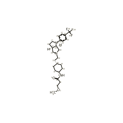 COCCC(=O)N[C@H]1CC[C@H](CCN2C[C@H]3CCN(c4ccc(C(F)(F)F)cc4)[C@H]3C2)CC1